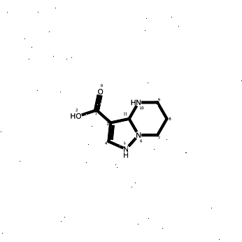 O=C(O)C1=CNN2CCCNC12